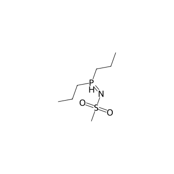 CCC[PH](CCC)=NS(C)(=O)=O